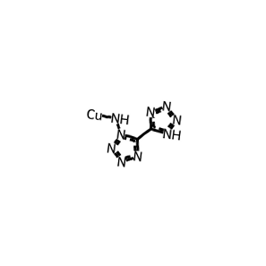 [Cu][NH]n1nnnc1-c1nnn[nH]1